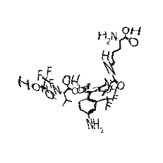 CC(C)[C@H](N)C(=O)O.NC(=O)NCCC[C@H](N)C(=O)O.Nc1ccc(C(=O)O)c(C(F)(F)F)c1.O=C(O)C(F)(F)F